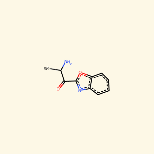 CCCC(N)C(=O)c1nc2ccccc2o1